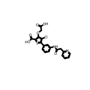 O=C(O)COc1c(C(=O)O)sc(-c2cccc(NC(=O)Cc3ccccn3)c2)c1Cl